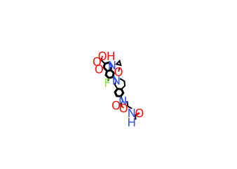 COc1c(N2CCCc3cc(N4CC(CNC(C)=O)OC4=O)ccc3C2)c(F)cc2c(=O)c(C(=O)O)cn(C3CC3)c12